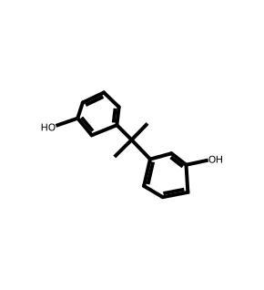 CC(C)(c1cccc(O)c1)c1cccc(O)c1